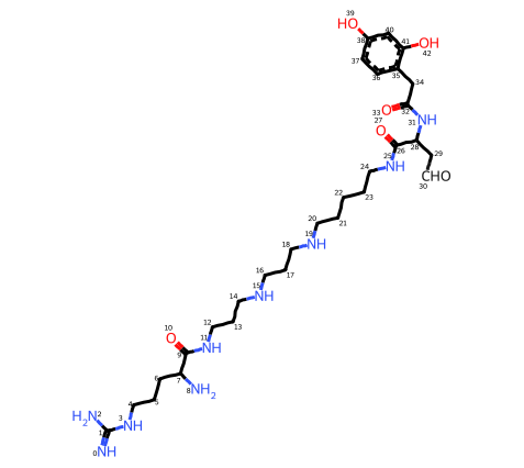 N=C(N)NCCCC(N)C(=O)NCCCNCCCNCCCCCNC(=O)C(CC=O)NC(=O)Cc1ccc(O)cc1O